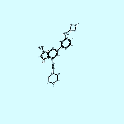 Nc1n[nH]c2c(C#CC3CCOCC3)cc(-c3ccnc(NC4COC4)c3)cc12